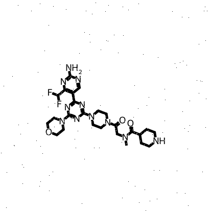 CN(CC(=O)N1CCN(c2nc(-c3cnc(N)nc3C(F)F)nc(N3CCOCC3)n2)CC1)C(=O)C1CCNCC1